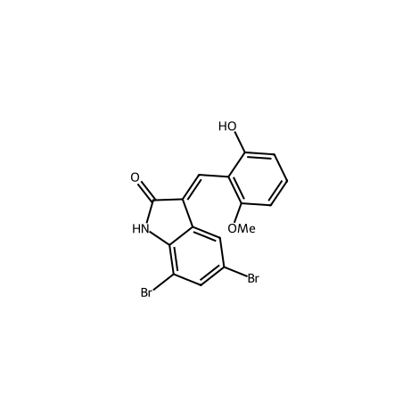 COc1cccc(O)c1C=C1C(=O)Nc2c(Br)cc(Br)cc21